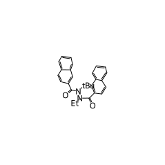 CCN(C(=O)c1ccc2ccccc2c1)N(C(=O)c1ccc2ccccc2c1)C(C)(C)C